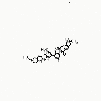 CCN1CCc2nc(Nc3cc(-c4cc(F)cc(N5CCn6c(cc7c6CC(C)(C)C7)C5=O)c4CO)cn(C)c3=O)ccc2C1